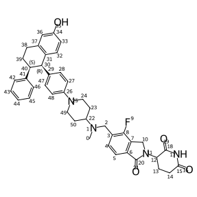 CN(Cc1ccc2c(c1F)CN(C1CCC(=O)NC1=O)C2=O)C1CCN(c2ccc([C@@H]3c4ccc(O)cc4CC[C@@H]3c3ccccc3)cc2)CC1